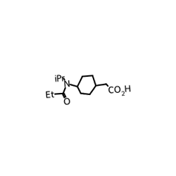 CCC(=O)N(C(C)C)C1CCC(CC(=O)O)CC1